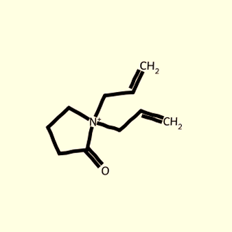 C=CC[N+]1(CC=C)CCCC1=O